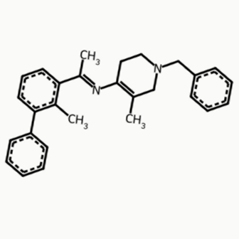 CC1=C(/N=C(\C)c2cccc(-c3ccccc3)c2C)CCN(Cc2ccccc2)C1